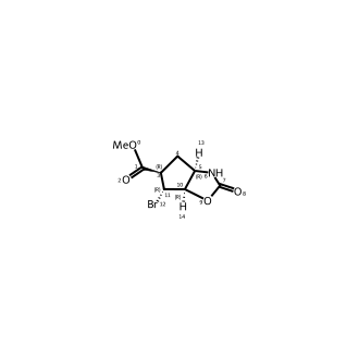 COC(=O)[C@H]1C[C@H]2NC(=O)O[C@H]2[C@@H]1Br